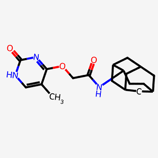 Cc1c[nH]c(=O)nc1OCC(=O)NC1CCC2CC3CC(C2)CC1C3